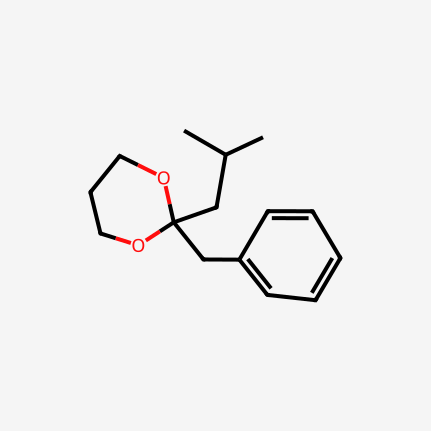 CC(C)CC1(Cc2ccccc2)OCCCO1